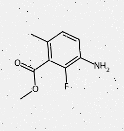 COC(=O)c1c(C)ccc(N)c1F